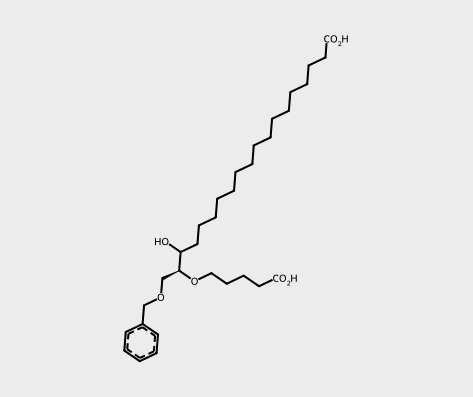 O=C(O)CCCCCCCCCCCCCCCC(O)[C@H](COCc1ccccc1)OCCCCC(=O)O